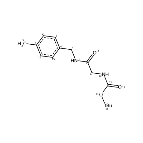 Cc1ccc(CNC(=O)CNC(=O)OC(C)(C)C)cc1